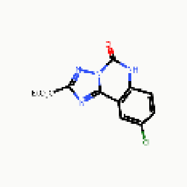 CCOC(=O)c1nc2c3cc(Cl)ccc3[nH]c(=O)n2n1